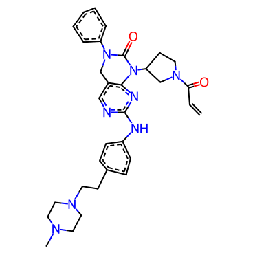 C=CC(=O)N1CCC(N2C(=O)N(c3ccccc3)Cc3cnc(Nc4ccc(CCN5CCN(C)CC5)cc4)nc32)C1